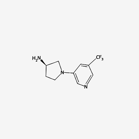 N[C@@H]1CCN(c2cncc(C(F)(F)F)c2)C1